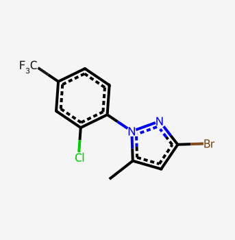 Cc1cc(Br)nn1-c1ccc(C(F)(F)F)cc1Cl